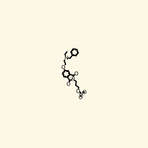 CCN(CCOc1ccc2c(c1)C(=O)N(CCCO[N+](=O)[O-])C2=O)Cc1ccccc1